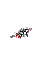 CCC[C@@H]1O[C@H]2CC3C4CCC5=CC(=O)C=CC5(C)C4[C@@H](O)CC3(C)[C@]2(C(=O)O)O1